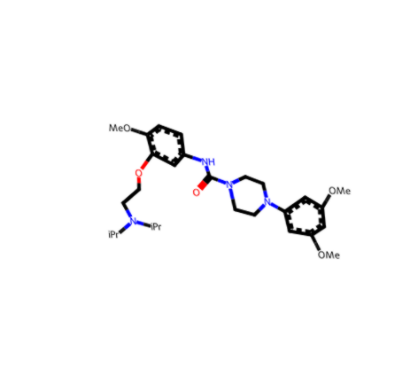 COc1cc(OC)cc(N2CCN(C(=O)Nc3ccc(OC)c(OCCN(C(C)C)C(C)C)c3)CC2)c1